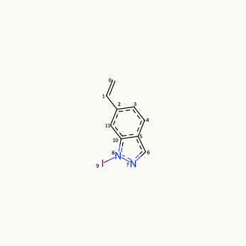 C=Cc1ccc2cnn(I)c2c1